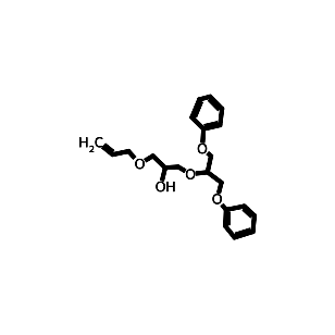 C=CCOCC(O)COC(COc1ccccc1)COc1ccccc1